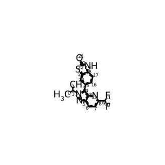 CC(C)n1nc2ccc(C(F)F)nc2c1-c1ccc2[nH]c(=O)sc2c1